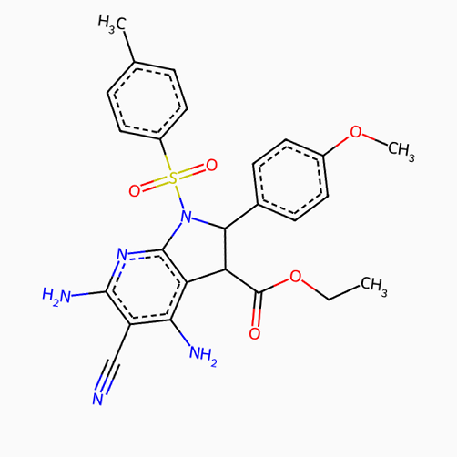 CCOC(=O)C1c2c(nc(N)c(C#N)c2N)N(S(=O)(=O)c2ccc(C)cc2)C1c1ccc(OC)cc1